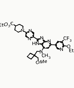 CCOC(=O)C1CCN(c2cnc(-c3nc4nc(-c5cnc(OCC)c(C(F)(F)F)c5)cc(N(C)CC5(COC)CCC5)c4[nH]3)cn2)CC1